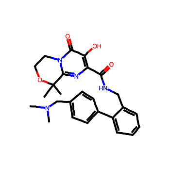 CN(C)Cc1ccc(-c2ccccc2CNC(=O)c2nc3n(c(=O)c2O)CCOC3(C)C)cc1